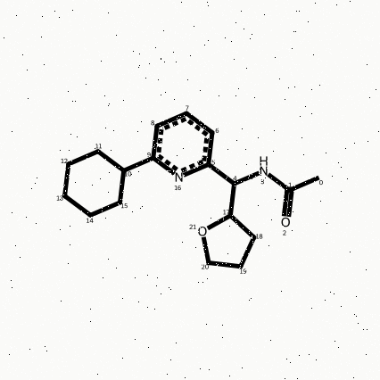 CC(=O)NC(c1cccc(C2CCCCC2)n1)C1CCCO1